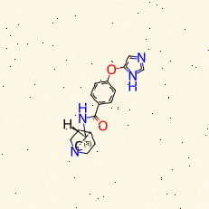 O=C(N[C@H]1CN2CCC1CC2)c1ccc(Oc2cnc[nH]2)cc1